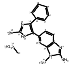 CCCCn1c(N)nc2ccc(-c3[nH]c(C(C)(C)C)nc3-c3ccccc3)nc21.CS(=O)(=O)O